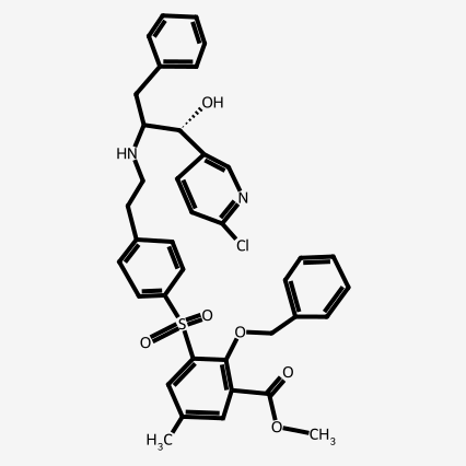 COC(=O)c1cc(C)cc(S(=O)(=O)c2ccc(CCNC(Cc3ccccc3)[C@H](O)c3ccc(Cl)nc3)cc2)c1OCc1ccccc1